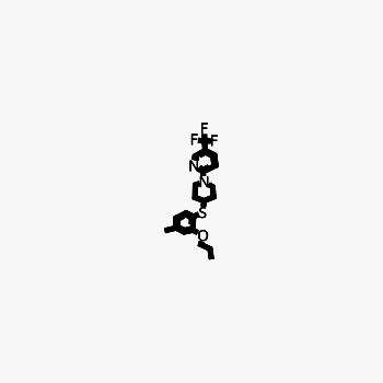 CCCOc1cc(C)ccc1SC1CCN(c2ccc(C(F)(F)F)cn2)CC1